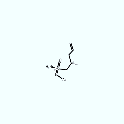 C=CC[C@H](C)C[S@@](N)(=O)=NC(C)=O